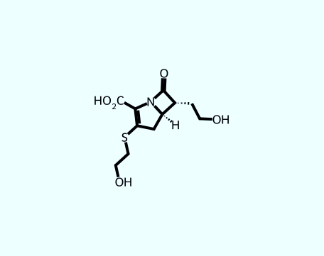 O=C(O)C1=C(SCCO)C[C@@H]2[C@@H](CCO)C(=O)N12